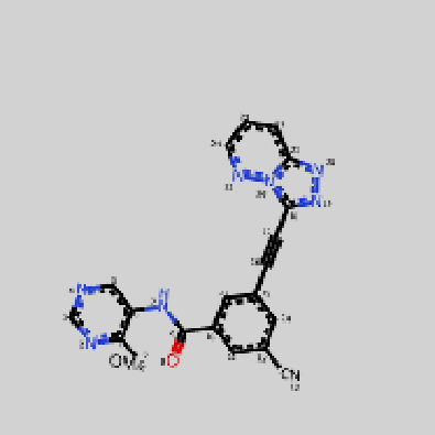 COc1ncncc1NC(=O)c1cc(C#N)cc(C#Cc2nnc3cccnn23)c1